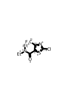 CCN(CC)C(=O)c1sc(Cl)nc1C(F)(F)F